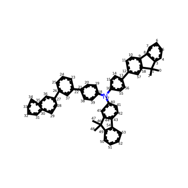 CC1(C)c2ccccc2-c2ccc(-c3ccc(N(c4ccc(-c5cccc(-c6ccc7ccccc7c6)c5)cc4)c4ccc5c(c4)C(C)(C)c4ccccc4-5)cc3)cc21